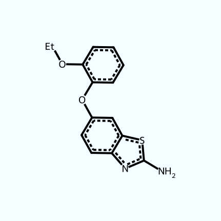 CCOc1ccccc1Oc1ccc2nc(N)sc2c1